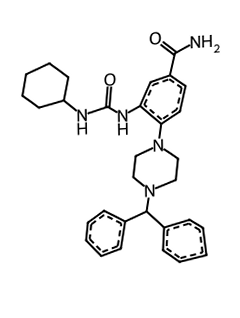 NC(=O)c1ccc(N2CCN(C(c3ccccc3)c3ccccc3)CC2)c(NC(=O)NC2CCCCC2)c1